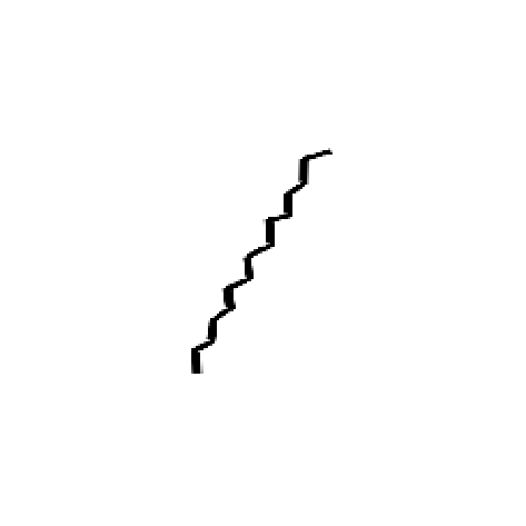 [CH]=CC=CC=CC=CC=CC=CC=CC